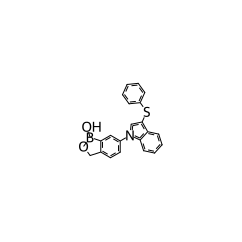 OB1OCc2ccc(-n3cc(Sc4ccccc4)c4ccccc43)cc21